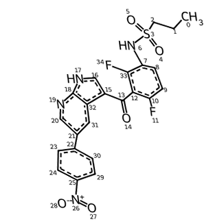 CCCS(=O)(=O)Nc1ccc(F)c(C(=O)c2c[nH]c3ncc(-c4ccc([N+](=O)[O-])cc4)cc23)c1F